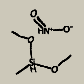 CO[SiH](C)OC.O=[NH+][O-]